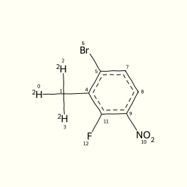 [2H]C([2H])([2H])c1c(Br)ccc([N+](=O)[O-])c1F